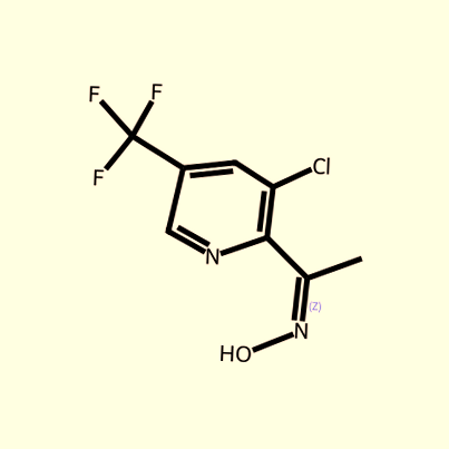 C/C(=N/O)c1ncc(C(F)(F)F)cc1Cl